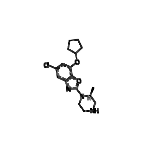 C[C@H]1CNCCN1c1nc2cc(Cl)cc(OC3CCCC3)c2o1